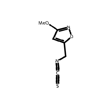 COc1cc(CN=C=S)on1